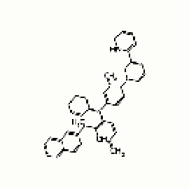 C=C\C=C/C(C(=C1\C=CCCC1)/C(/C=C\CC1C=CC=C(C2=CC=CCN2)C1)=C/C=C)=C(\C)C(C)c1ccc2ccccc2c1